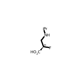 CC(C)NC[C@@H](F)C(=O)O